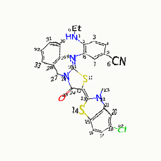 CCNc1ccc(C#N)cc1N=C1SC(=C2Sc3ccc(Cl)cc3N2C)C(=O)N1Cc1ccccc1